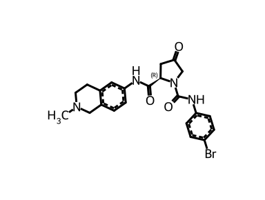 CN1CCc2cc(NC(=O)[C@H]3CC(=O)CN3C(=O)Nc3ccc(Br)cc3)ccc2C1